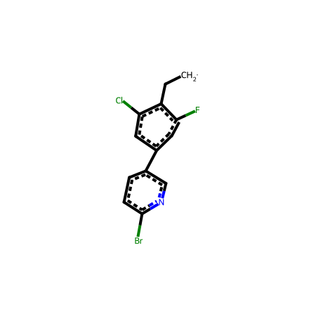 [CH2]Cc1c(F)cc(-c2ccc(Br)nc2)cc1Cl